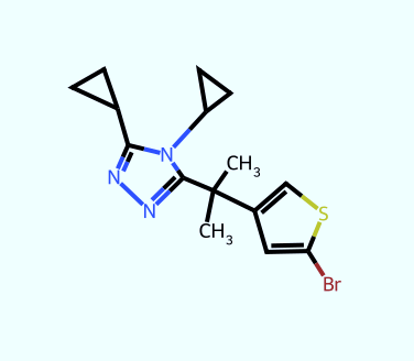 CC(C)(c1csc(Br)c1)c1nnc(C2CC2)n1C1CC1